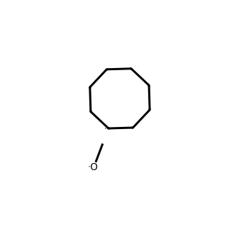 C[O].[CH]1CCCCCCC1